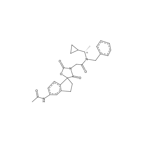 CC(=O)Nc1ccc2c(c1)CCC21OC(=O)N(CC(=O)N(Cc2ccccc2)[C@@H](C)C2CC2)C1=O